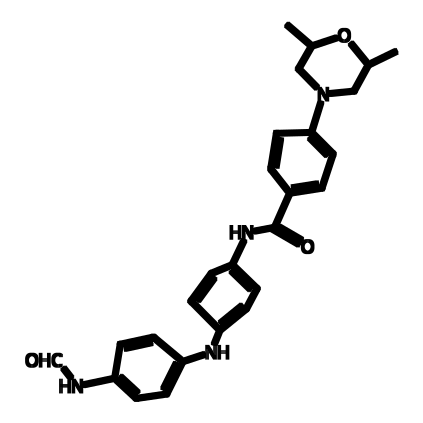 CC1CN(c2ccc(C(=O)Nc3ccc(Nc4ccc(NC=O)cc4)cc3)cc2)CC(C)O1